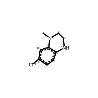 CN1CCNc2ccc(Cl)cc21